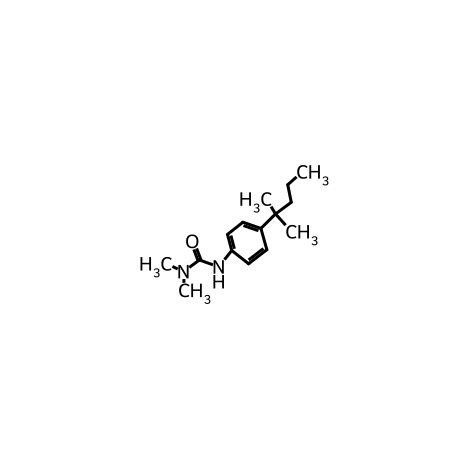 CCCC(C)(C)c1ccc(NC(=O)N(C)C)cc1